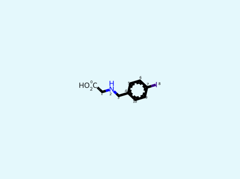 O=C(O)CNCc1ccc(I)cc1